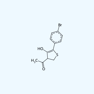 CC(=O)C1CSC(c2ccc(Br)cc2)=C1O